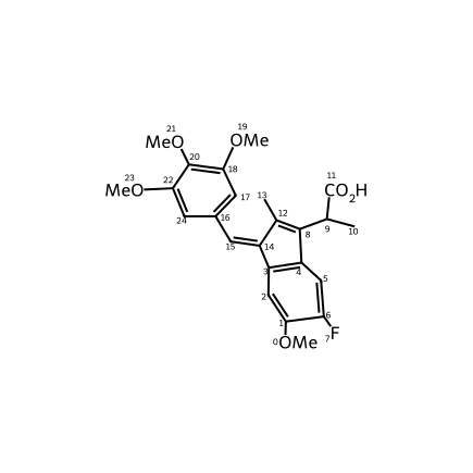 COc1cc2c(cc1F)C(C(C)C(=O)O)=C(C)C2=Cc1cc(OC)c(OC)c(OC)c1